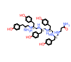 NC(=O)CCNC[C@H](Cc1ccc(O)cc1)NC[C@H](Cc1ccc(O)cc1)NC[C@H](Cc1ccc(O)cc1)NC[C@H](Cc1ccc(O)cc1)NC[C@H](N)Cc1ccc(O)cc1